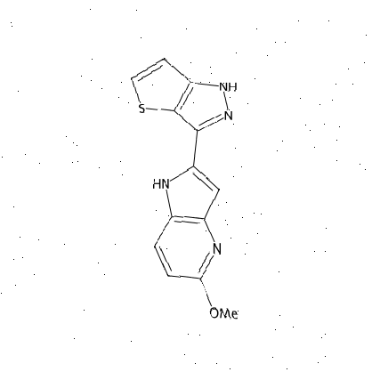 COc1ccc2[nH]c(-c3n[nH]c4ccsc34)cc2n1